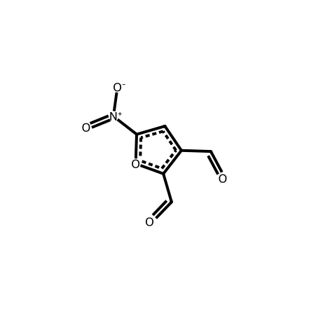 O=Cc1cc([N+](=O)[O-])oc1C=O